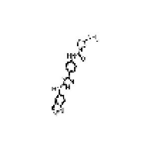 NC1CCN(C(=O)Nc2ccc(-c3nnc(Nc4ccc5[nH]ncc5c4)s3)cc2)C1